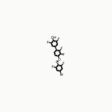 Oc1c(F)cc(-c2ccc(OOc3c(F)cc(Br)cc3F)c(F)c2F)cc1F